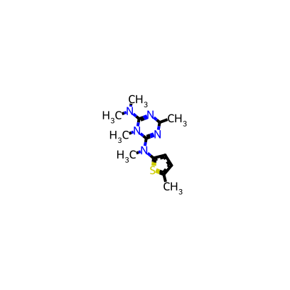 Cc1ccc(N(C)C2=NC(C)N=C(N(C)C)N2C)s1